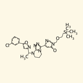 CC(c1cc(-c2cccc(Cl)c2)on1)N1CCCn2c(-c3cc(=O)n(COCC[Si](C)(C)C)cn3)nnc21